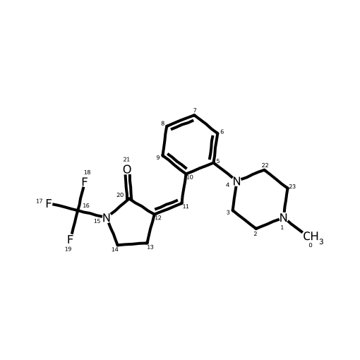 CN1CCN(c2ccccc2C=C2CCN(C(F)(F)F)C2=O)CC1